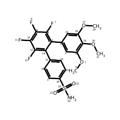 COc1cc(-c2c(F)c(F)c(F)c(F)c2-c2ccc(S(N)(=O)=O)cc2)cc(OC)c1OC